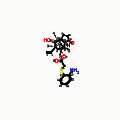 C=C[C@]1(C)C[C@@H](OC(=O)CSc2ccccc2N)[C@]2(C)[C@H](C)CC[C@]3(CCC(=O)[C@H]32)[C@@H](C)[C@@H]1O